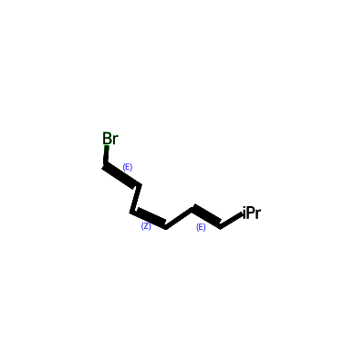 CC(C)/C=C/C=C\C=C\Br